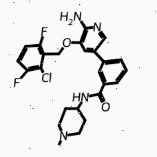 CN1CCC(NC(=O)c2cccc(-c3cnc(N)c(OCc4c(F)ccc(F)c4Cl)c3)c2)CC1